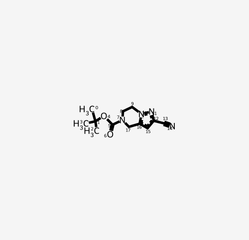 CC(C)(C)OC(=O)N1CCn2nc(C#N)cc2C1